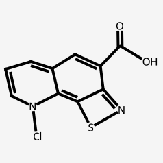 O=C(O)c1cc2cccn(Cl)c2c2snc12